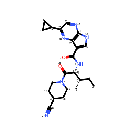 CC[C@H](C)[C@@H](NC(=O)c1c[nH]c2ncc(C3CC3)nc12)C(=O)N1CCC(C#N)CC1